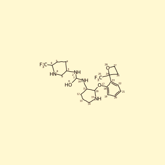 OC(NC1CCC(C(F)(F)F)NC1)NC1CCCNC1Oc1ccccc1C1(C(F)(F)F)CCO1